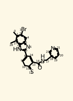 Cc1c(Br)cc2nc(C3=CCC(=S)C(C(=O)NCc4cccnc4)=C3)[nH]c2c1C